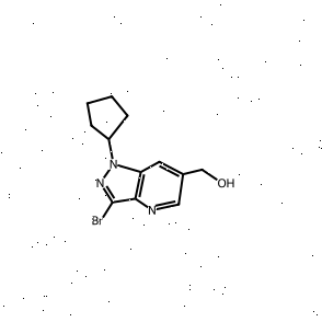 OCc1cnc2c(Br)nn(C3CCCC3)c2c1